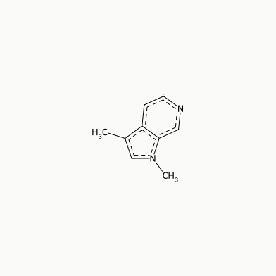 Cc1cn(C)c2cn[c]cc12